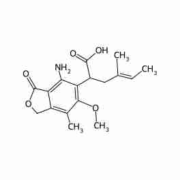 C/C=C(\C)CC(C(=O)O)c1c(N)c2c(c(C)c1OC)COC2=O